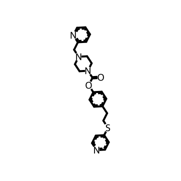 O=C(Oc1ccc(CCSc2ccncc2)cc1)N1CCN(Cc2ccccn2)CC1